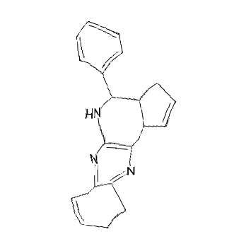 C1=Cc2nc3c(nc2CC1)C1C=CCC1C(c1ccccc1)N3